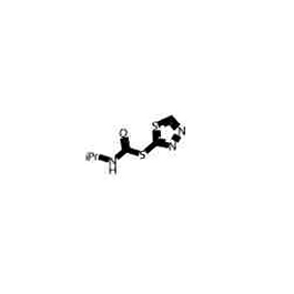 CC(C)NC(=O)Sc1nncs1